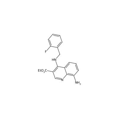 CCOC(=O)c1cnc2c(N)cccc2c1NCc1ccccc1F